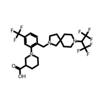 O=C(O)C1CCCN(c2cc(C(F)(F)F)ccc2CN2CCC3(CCN(C(C(F)(F)F)C(F)(F)F)CC3)C2)C1